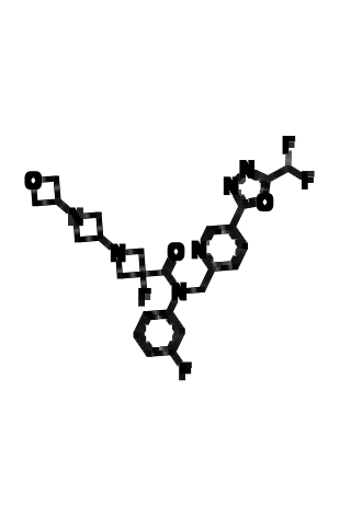 O=C(N(Cc1ccc(-c2nnc(C(F)F)o2)cn1)c1cccc(F)c1)C1(F)CN(C2CN(C3COC3)C2)C1